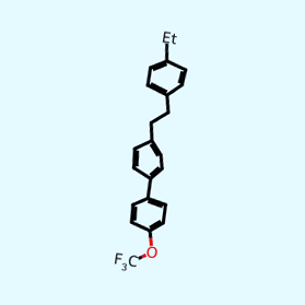 CCc1ccc(CCc2ccc(-c3ccc(OC(F)(F)F)cc3)cc2)cc1